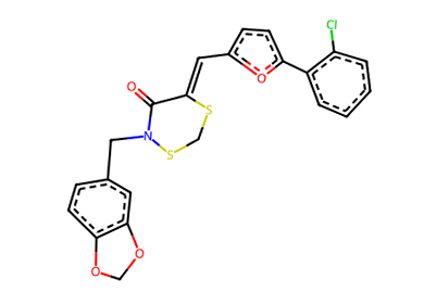 O=C1/C(=C/c2ccc(-c3ccccc3Cl)o2)SCSN1Cc1ccc2c(c1)OCO2